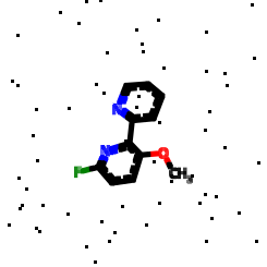 COc1ccc(F)nc1-c1ccccn1